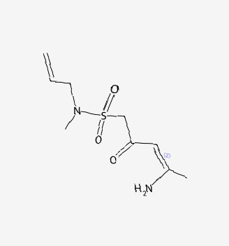 C=CCN(C)S(=O)(=O)CC(=O)/C=C(/C)N